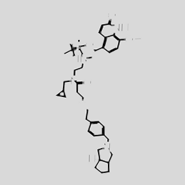 CC(C)(C)[Si](C)(C)O[C@@H](CNCCN(CC1CC1)C(=O)CCOCCc1ccc(CN2CC3CCC[C@H]3C2)cc1)c1ccc(O)c2[nH]c(=O)ccc12